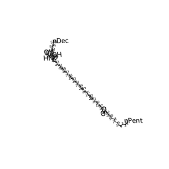 CCCCC/C=C\C/C=C\CCCCCCCC(=O)OCCCCCCCCCCCCCCCCCCCCCCCCCCCCCC(=O)N[C@@H](CO)[C@H](O)/C=C/CCCCCCCCCCCCC